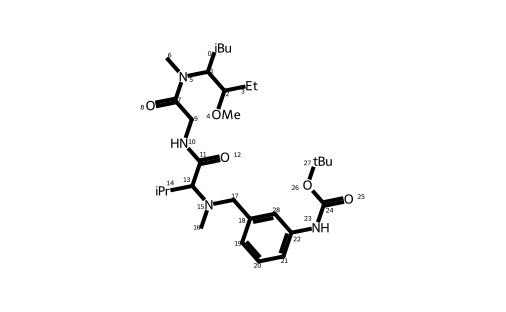 CCC(C)C(C(CC)OC)N(C)C(=O)CNC(=O)C(C(C)C)N(C)Cc1cccc(NC(=O)OC(C)(C)C)c1